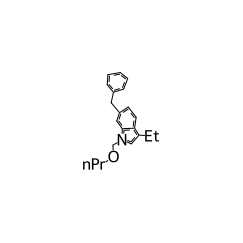 CCCOCn1cc(CC)c2ccc(Cc3ccccc3)cc21